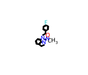 CN=c1n(CC(=O)c2ccc(F)cc2)c2cccc3c2n1CC3